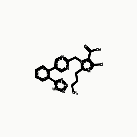 CCCCc1nc(Cl)c(C(=O)O)n1Cc1ncc(-c2ccccc2-c2nnn[nH]2)cn1